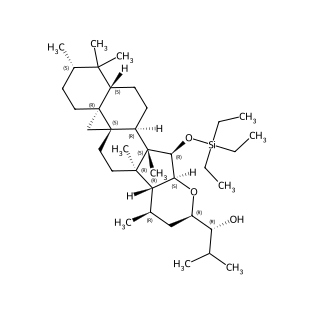 CC[Si](CC)(CC)O[C@H]1[C@H]2O[C@@H]([C@H](O)C(C)C)C[C@@H](C)[C@@H]2[C@@]2(C)CC[C@@]34C[C@@]35CC[C@H](C)C(C)(C)[C@@H]5CC[C@H]4[C@]12C